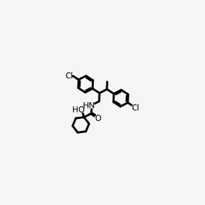 CC(c1ccc(Cl)cc1)C(CNC(=O)C1(O)CCCCC1)c1ccc(Cl)cc1